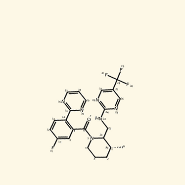 C[C@@H]1CCCN(C(=O)c2cc(F)ccc2-c2ncccn2)C1CNc1ncc(C(F)(F)F)cn1